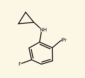 CC(C)c1ccc(F)cc1NC1CC1